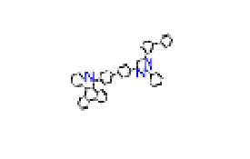 c1ccc(-c2cccc(-c3cc(-c4ccc(-c5ccc(-c6nc7ccccc7c7c8ccccc8c8ccccc8c67)cc5)cc4)nc(-c4ccccc4)n3)c2)cc1